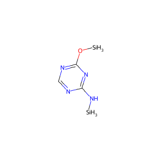 [SiH3]Nc1ncnc(O[SiH3])n1